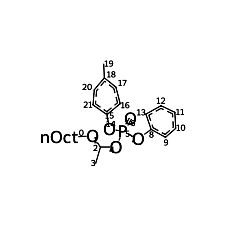 CCCCCCCCOC(C)OP(=O)(Oc1ccccc1)Oc1ccc(C)cc1